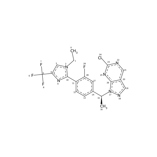 CCn1cc(C(F)(F)F)nc1-c1ccc([C@H](C)n2ncc3cnc(Cl)nc32)cc1F